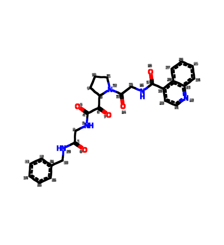 O=C(CNC(=O)C(=O)C1CCCN1C(=O)CNC(=O)c1ccnc2ccccc12)NCc1ccccc1